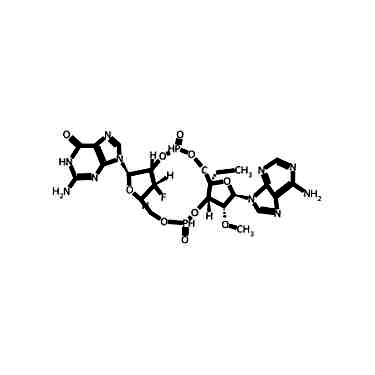 CC[C@@]12CO[PH](=O)O[C@@H]3[C@H](F)[C@@H](CO[PH](=O)O[C@H]1[C@@H](OC)[C@H](n1cnc4c(N)ncnc41)O2)O[C@H]3n1cnc2c(=O)[nH]c(N)nc21